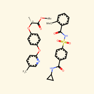 CCCCOC(=O)[C@@H](C)Oc1ccc(Oc2ccc(C(F)(F)F)cn2)cc1.COc1ccccc1C(=O)NS(=O)(=O)c1ccc(C(=O)NC2CC2)cc1